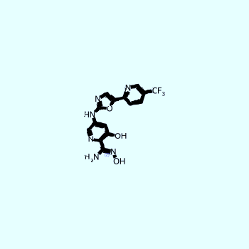 N/C(=N\O)c1ncc(Nc2ncc(-c3ccc(C(F)(F)F)cn3)o2)cc1O